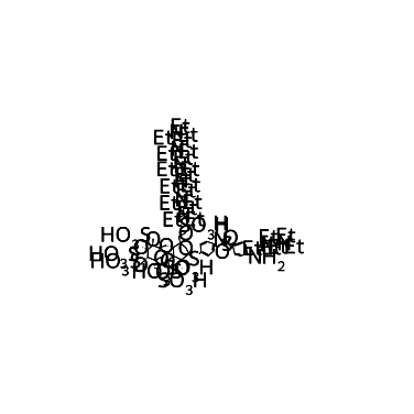 CCN(CC)CC.CCN(CC)CC.CCN(CC)CC.CCN(CC)CC.CCN(CC)CC.CCN(CC)CC.CCN(CC)CC.CCN(CC)CC.Nc1ccc(S(=O)(=O)Nc2ccc(S[C@@H]3O[C@H](COS(=O)(=O)O)[C@@H](O[C@H]4O[C@H](COS(=O)(=O)O)[C@@H](OS(=O)(=O)O)[C@H](OS(=O)(=O)O)[C@H]4OS(=O)(=O)O)[C@H](OS(=O)(=O)O)[C@H]3OS(=O)(=O)O)cc2)cc1